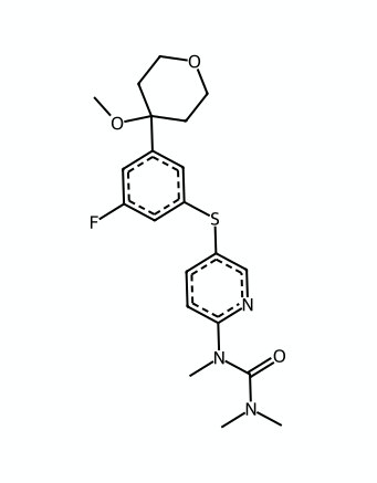 COC1(c2cc(F)cc(Sc3ccc(N(C)C(=O)N(C)C)nc3)c2)CCOCC1